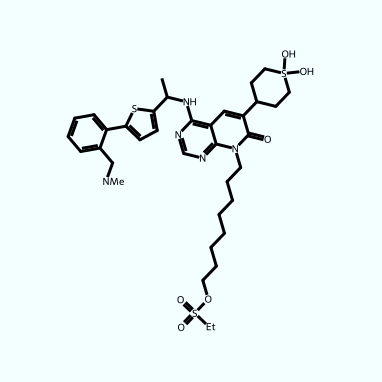 CCS(=O)(=O)OCCCCCCCCn1c(=O)c(C2CCS(O)(O)CC2)cc2c(NC(C)c3ccc(-c4ccccc4CNC)s3)ncnc21